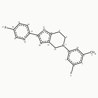 Cc1cc(F)cc(N2CCc3oc(-c4ccc(F)cn4)nc3C2)c1